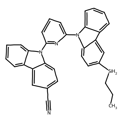 CCC[SiH2]c1ccc2c(c1)c1ccccc1n2-c1cccc(-n2c3ccccc3c3cc(C#N)ccc32)n1